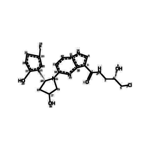 O=C(NC[C@H](O)CCl)c1cnn2ccc(N3CC(O)C[C@@H]3c3cc(F)ccc3O)nc12